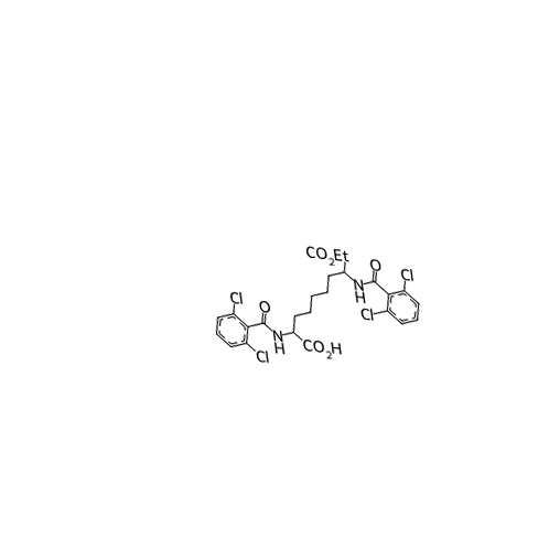 CCOC(=O)C(CCCCCC(NC(=O)c1c(Cl)cccc1Cl)C(=O)O)NC(=O)c1c(Cl)cccc1Cl